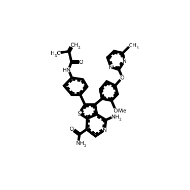 C=C(C)C(=O)Nc1ccc(-c2sc3c(C(N)=O)cnc(N)c3c2-c2ccc(Oc3nccc(C)n3)cc2OC)cc1